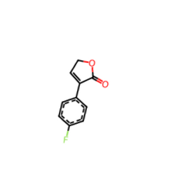 O=C1OCC=C1c1ccc(F)cc1